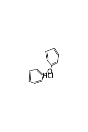 Cl.c1ccc(Oc2ccccc2)cc1